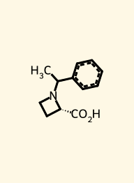 CC(c1ccccc1)N1CC[C@H]1C(=O)O